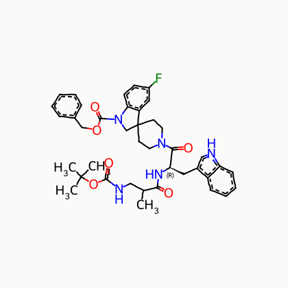 CC(CNC(=O)OC(C)(C)C)C(=O)N[C@H](Cc1c[nH]c2ccccc12)C(=O)N1CCC2(CC1)CN(C(=O)OCc1ccccc1)c1ccc(F)cc12